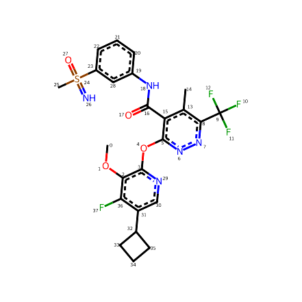 COc1c(Oc2nnc(C(F)(F)F)c(C)c2C(=O)Nc2cccc(S(C)(=N)=O)c2)ncc(C2CCC2)c1F